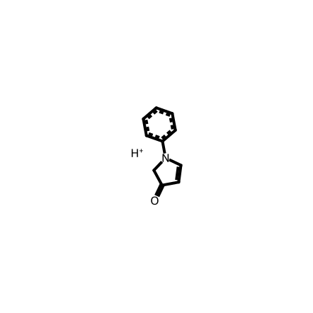 O=C1C=CN(c2ccccc2)C1.[H+]